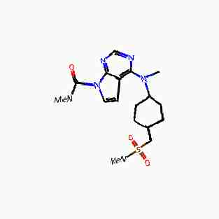 CNC(=O)n1ccc2c(N(C)C3CCC(CS(=O)(=O)NC)CC3)ncnc21